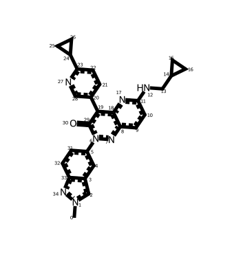 Cn1cc2cc(-n3nc4ccc(NCC5CC5)nc4c(-c4ccc(C5CC5)nc4)c3=O)ccc2n1